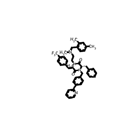 Cc1ccc(CN(C)CCN(C)C(=O)[C@H](Cc2ccccc2)N(Cc2ccc(-c3ccccn3)cc2)C(=O)C=Cc2ccc(C(F)(F)F)cc2)c(C)c1